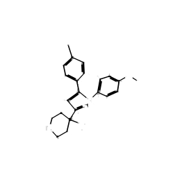 COc1ccc(-n2nc(C3(O)CCNCC3)cc2-c2ccc(C)cc2)cc1